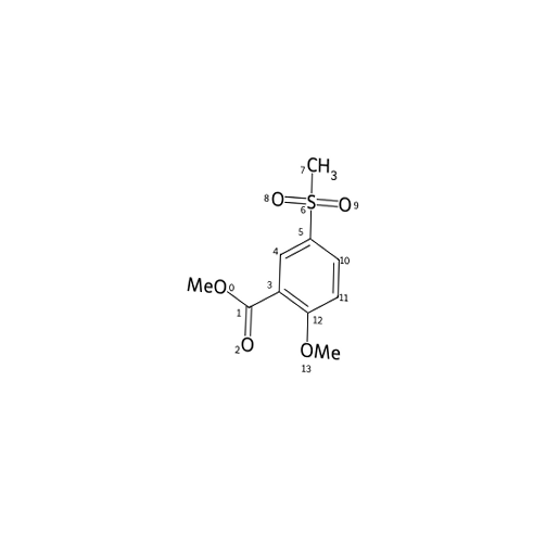 COC(=O)c1cc(S(C)(=O)=O)ccc1OC